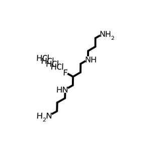 Cl.Cl.Cl.Cl.NCCCNCCC(F)CNCCCN